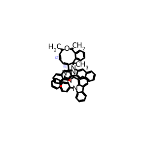 C=C1/C=C\C=C(\c2nc(-c3ccccc3)nc(-c3cccc4c5ccccc5n(-c5ccccc5)c34)n2)C(C)(n2c3cc4ccccc4cc3c3cc4ccccc4cc32)c2ccccc2C(=C)O1